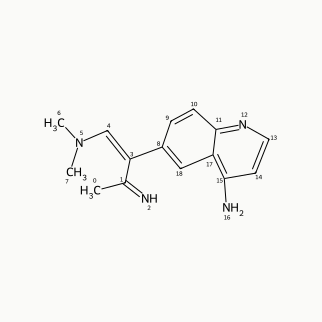 CC(=N)/C(=C\N(C)C)c1ccc2nccc(N)c2c1